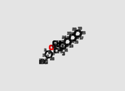 CCC(C)C1CCC(OC(C)(C)c2ccc3cc4cc5ccccc5cc4cc3c2)CC1